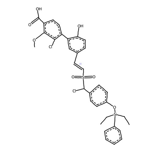 CC[Si](CC)(Oc1ccc(C(Cl)S(=O)(=O)/C=C/c2ccc(O)c(-c3ccc(C(=O)O)c(OC)c3Cl)c2)cc1)c1ccccc1